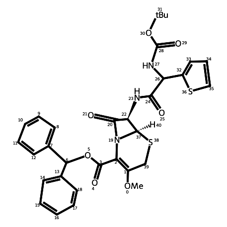 COC1=C(C(=O)OC(c2ccccc2)c2ccccc2)N2C(=O)[C@@H](NC(=O)C(NC(=O)OC(C)(C)C)c3cccs3)[C@H]2SC1